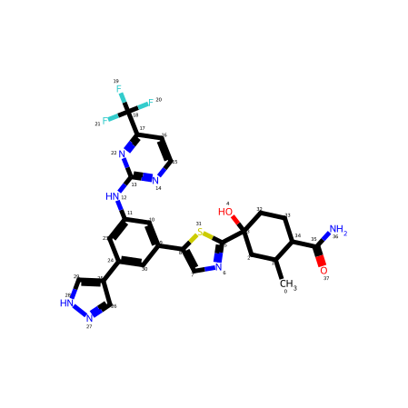 CC1CC(O)(c2ncc(-c3cc(Nc4nccc(C(F)(F)F)n4)cc(-c4cn[nH]c4)c3)s2)CCC1C(N)=O